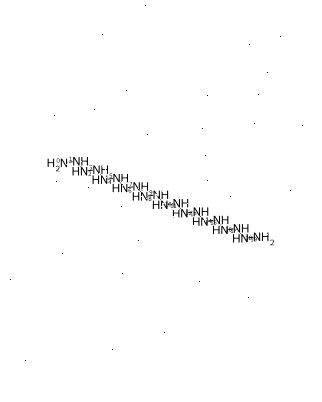 NNNNNNNNNNNNNNNNNNNN